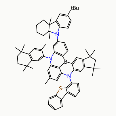 Cc1cc2c3c(c1)N(c1cccc4c1sc1ccccc14)c1cc4c(cc1B3c1ccc(N3c5ccc(C(C)(C)C)cc5C5(C)CCCCC35C)cc1N2c1cc2c(cc1C)C(C)(C)CCC2(C)C)C(C)(C)CC4(C)C